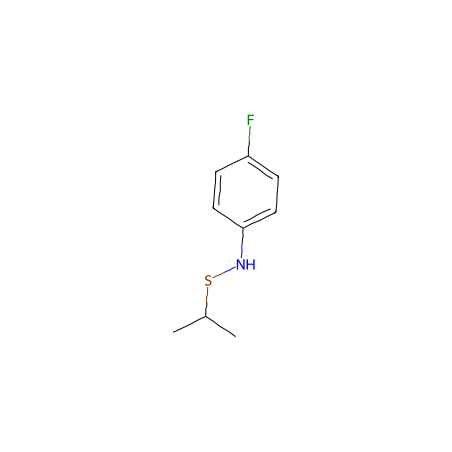 CC(C)SNc1ccc(F)cc1